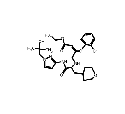 CCOC(=O)C=C(CNC(CC1CCOCC1)C(=O)Nc1ccn(CC(C)(C)O)n1)Oc1ccccc1Br